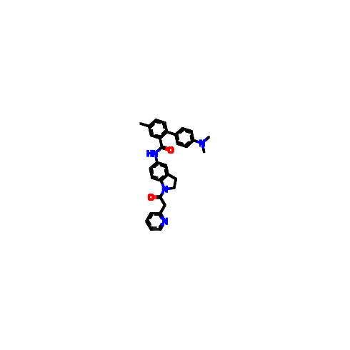 Cc1ccc(-c2ccc(N(C)C)cc2)c(C(=O)Nc2ccc3c(c2)CCN3C(=O)Cc2ccccn2)c1